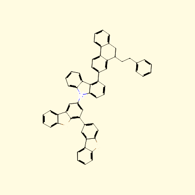 c1ccc(CCC2Cc3ccccc3-c3ccc(-c4cccc5c4c4ccccc4n5-c4cc(-c5ccc6sc7ccccc7c6c5)c5sc6ccccc6c5c4)cc32)cc1